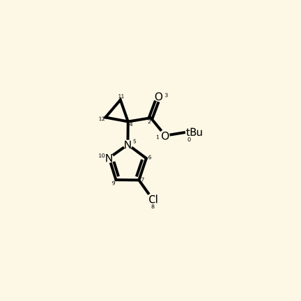 CC(C)(C)OC(=O)C1(n2cc(Cl)cn2)CC1